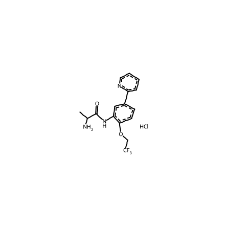 CC(N)C(=O)Nc1cc(-c2ccccn2)ccc1OCC(F)(F)F.Cl